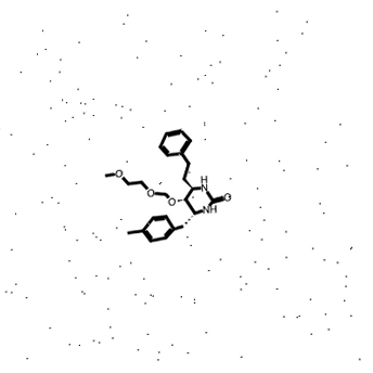 COCCOCO[C@@H]1[C@@H](CCc2ccccc2)NC(=O)N[C@@H]1Cc1ccc(C)cc1